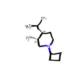 CC(C)[C@H]1CCN(C2CCC2)C[C@@H]1C